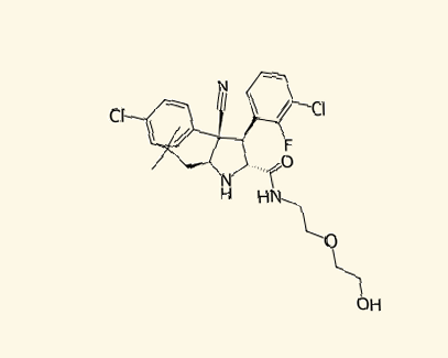 CC(C)(C)C[C@@H]1N[C@@H](C(=O)NCCOCCO)[C@H](c2cccc(Cl)c2F)[C@@]1(C#N)c1ccc(Cl)cc1